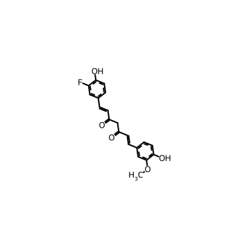 COc1cc(C=CC(=O)CC(=O)C=Cc2ccc(O)c(F)c2)ccc1O